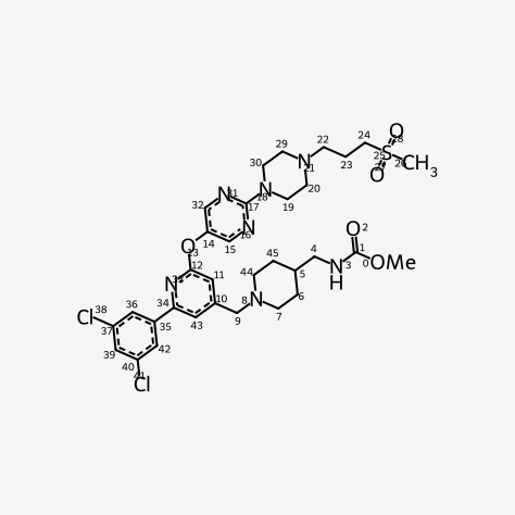 COC(=O)NCC1CCN(Cc2cc(Oc3cnc(N4CCN(CCCS(C)(=O)=O)CC4)nc3)nc(-c3cc(Cl)cc(Cl)c3)c2)CC1